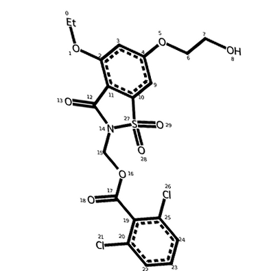 CCOc1cc(OCCO)cc2c1C(=O)N(COC(=O)c1c(Cl)cccc1Cl)S2(=O)=O